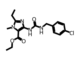 CCOC(=O)c1c(NC(=O)NCc2ccc(Cl)cc2)nc(CC)n1C